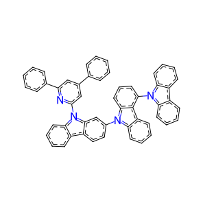 c1ccc(-c2cc(-c3ccccc3)nc(-n3c4ccccc4c4ccc(-n5c6ccccc6c6c(-n7c8ccccc8c8ccccc87)cccc65)cc43)c2)cc1